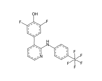 Oc1c(F)cc(-c2cccnc2Nc2ccc(S(F)(F)(F)(F)F)cc2)cc1F